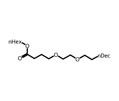 CCCCCCCCCCCCOCCOCCCC(=O)OCCCCCC